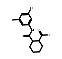 O=C(O)C1CCCCC1C(=O)Nc1cc(Cl)cc(Cl)c1